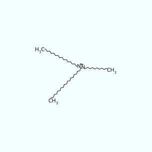 CCCCCCCCCCCCCCCCCCCC1N(CCCCCCCCCCC)C=CN1CCCCCCCCCCCCCCCCC